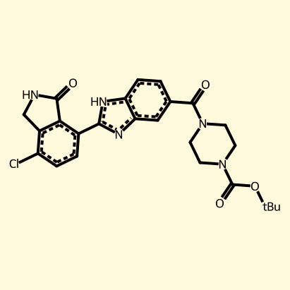 CC(C)(C)OC(=O)N1CCN(C(=O)c2ccc3[nH]c(-c4ccc(Cl)c5c4C(=O)NC5)nc3c2)CC1